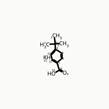 CC(C)(C)c1ccc(C(=O)O)cc1.[KH]